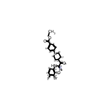 CCOC(=O)c1ccc(N2CCC(C(=O)/C(=N/O)Nc3ccc(F)c(Br)c3)CC2)cc1